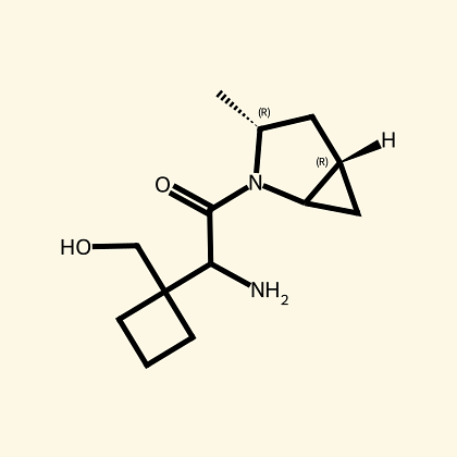 C[C@@H]1C[C@@H]2CC2N1C(=O)C(N)C1(CO)CCC1